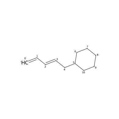 [CH]=CC=CCC1CCCCC1